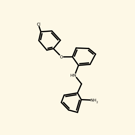 Nc1ccccc1CNc1ccccc1Oc1ccc(Cl)cc1